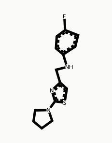 Fc1ccc(NCc2csc(N3CCCC3)n2)cc1